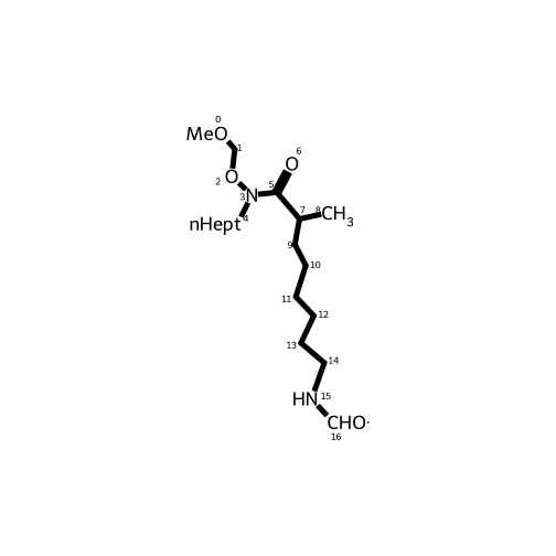 [CH2]OCON(CCCCCCC)C(=O)C(C)CCCCCCN[C]=O